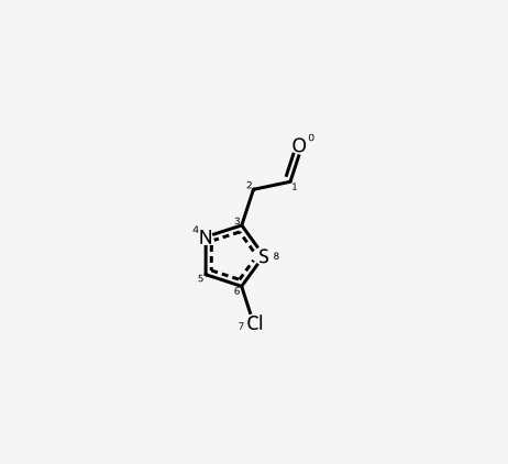 O=CCc1ncc(Cl)s1